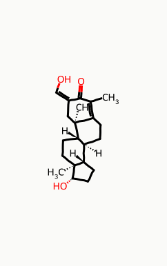 CC1=C2CC[C@H]3[C@@H]4CC[C@H](O)[C@@]4(C)CC[C@@H]3[C@@]2(C)CC(=CO)C1=O